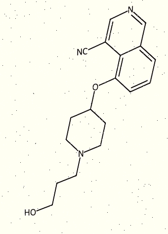 N#Cc1cncc2cccc(OC3CCN(CCCO)CC3)c12